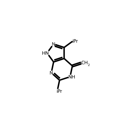 C=C1NC(C(C)C)=Nc2[nH]nc(C(C)C)c21